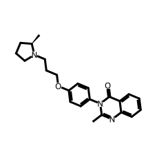 Cc1nc2ccccc2c(=O)n1-c1ccc(OCCCN2CCC[C@H]2C)cc1